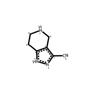 N#Cc1n[nH]c2c1CNCC2